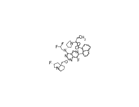 C=CC(=O)N1CC[C@@H](N(CC(F)F)c2nc(OC[C@@]34CCCN3C[C@H](F)C4)nc3c(F)c(-c4cccc5cccc(Cl)c45)ncc23)C1